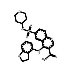 NC(=O)c1cnc2ccc(S(=O)(=O)NC3CCOCC3)cc2c1Nc1cccc2c1CCO2